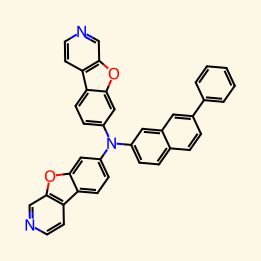 c1ccc(-c2ccc3ccc(N(c4ccc5c(c4)oc4cnccc45)c4ccc5c(c4)oc4cnccc45)cc3c2)cc1